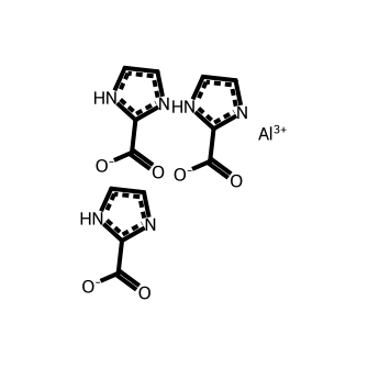 O=C([O-])c1ncc[nH]1.O=C([O-])c1ncc[nH]1.O=C([O-])c1ncc[nH]1.[Al+3]